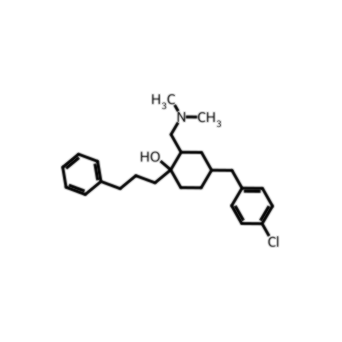 CN(C)CC1CC(Cc2ccc(Cl)cc2)CCC1(O)CCCc1ccccc1